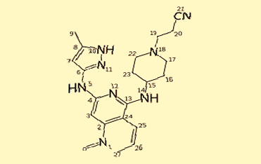 C=Nc1cc(Nc2cc(C)[nH]n2)nc(NC2CCN(CCC#N)CC2)c1/C=C\C